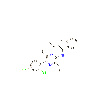 CCc1nc(-c2ccc(Cl)cc2Cl)c(CC)nc1NC1c2ccccc2CC1CC